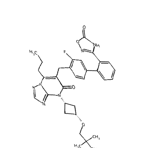 CCCc1c(Cc2ccc(-c3ccccc3-c3noc(=O)[nH]3)cc2F)c(=O)n([C@H]2C[C@@H](OCC(C)(C)O)C2)c2ncnn12